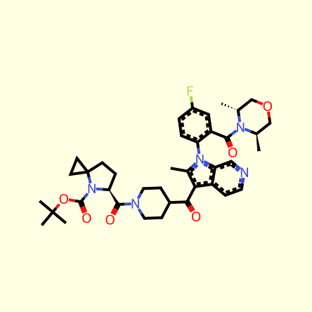 Cc1c(C(=O)C2CCN(C(=O)[C@@H]3CCC4(CC4)N3C(=O)OC(C)(C)C)CC2)c2ccncc2n1-c1ccc(F)cc1C(=O)N1[C@H](C)COC[C@H]1C